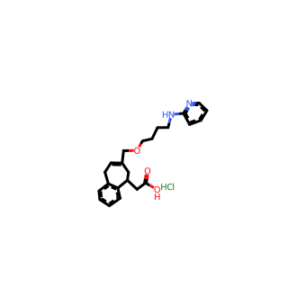 Cl.O=C(O)CC1CC(COCCCCNc2ccccn2)=CCc2ccccc21